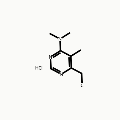 Cc1c(CCl)ncnc1N(C)C.Cl